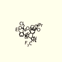 CC(C)OC(=O)c1cc(-c2nn(C)c(C(F)(F)F)c2Br)c(F)cc1Cl.CCc1cccc(CC)c1N(COC)C(=O)CCl